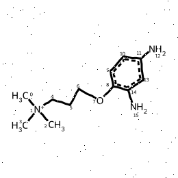 C[N+](C)(C)CCCOc1ccc(N)cc1N